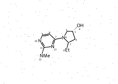 CCC1C[C@@H](O)CN1c1ccnc(NC)n1